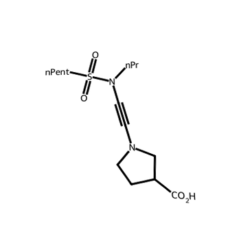 CCCCCS(=O)(=O)N(C#CN1CCC(C(=O)O)C1)CCC